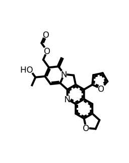 C=C1C(COC=O)=C(C(C)O)C=C2c3nc4cc5c(cc4c(-c4ccco4)c3CN12)CCO5